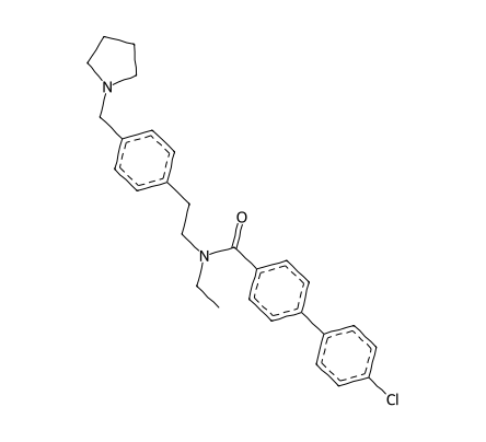 CCN(CCc1ccc(CN2CCCC2)cc1)C(=O)c1ccc(-c2ccc(Cl)cc2)cc1